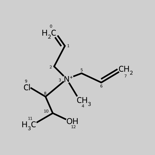 C=CC[N+](C)(CC=C)C(Cl)C(C)O